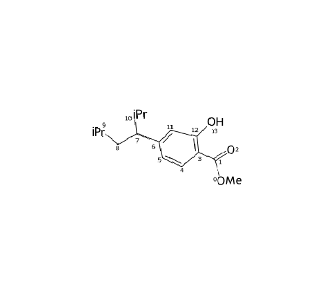 COC(=O)c1ccc(C(CC(C)C)C(C)C)cc1O